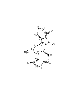 CC(C[n+]1cn(C(C)C)c2ncccc21)n1cncc2ccnc1-2